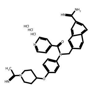 CC(=N)N1CCC(Oc2ccc(N(Cc3ccc4ccc(C(=N)N)cc4c3)C(=O)c3ccncc3)cc2)CC1.Cl.Cl.Cl